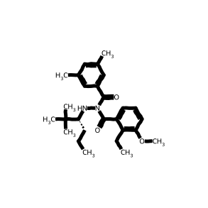 CCC[C@@H](NN(C(=O)c1cc(C)cc(C)c1)C(=O)c1cccc(OC)c1CC)C(C)(C)C